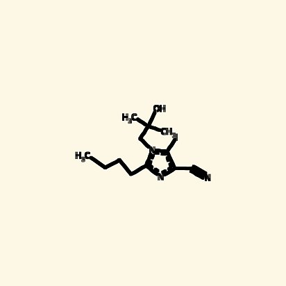 CCCCc1nc(C#N)c(I)n1CC(C)(C)O